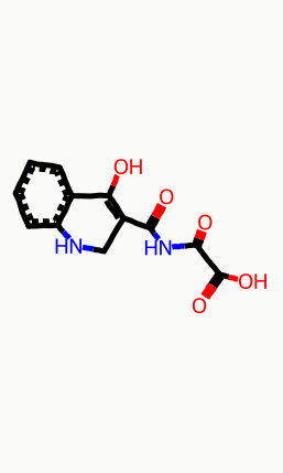 O=C(O)C(=O)NC(=O)C1=C(O)c2ccccc2NC1